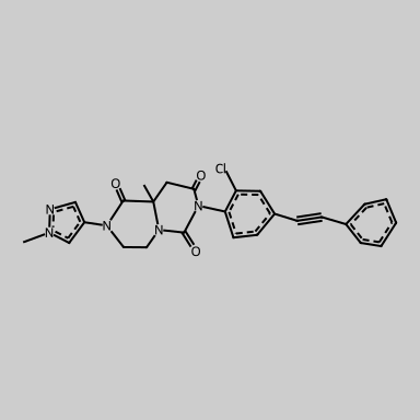 Cn1cc(N2CCN3C(=O)N(c4ccc(C#Cc5ccccc5)cc4Cl)C(=O)CC3(C)C2=O)cn1